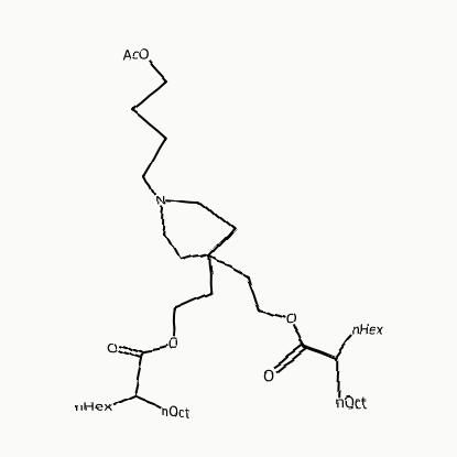 CCCCCCCCC(CCCCCC)C(=O)OCCC1(CCOC(=O)C(CCCCCC)CCCCCCCC)CCN(CCCCOC(C)=O)CC1